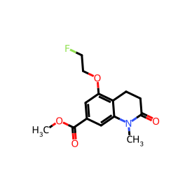 COC(=O)c1cc(OCCF)c2c(c1)N(C)C(=O)CC2